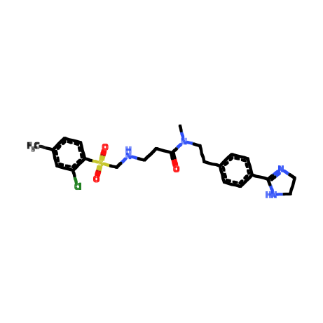 CN(CCc1ccc(C2=NCCN2)cc1)C(=O)CCNCS(=O)(=O)c1ccc(C(F)(F)F)cc1Cl